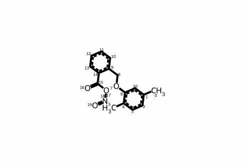 Cc1ccc(C)c(OCc2ccccc2C(=O)ON=O)c1